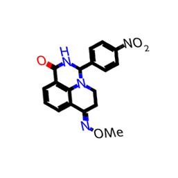 CO/N=C1\CCN2c3c(cccc31)C(=O)NC2c1ccc([N+](=O)[O-])cc1